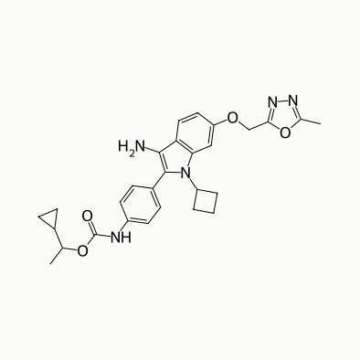 Cc1nnc(COc2ccc3c(N)c(-c4ccc(NC(=O)OC(C)C5CC5)cc4)n(C4CCC4)c3c2)o1